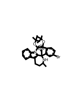 CC1CCc2c(n(C(=O)OC(C)(C)C)c3ccccc23)C(C(N)=O)(c2cc(Br)ccc2C(=O)OC(C)(C)C)N1